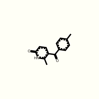 Cc1ccc(C(=O)c2ccc(=O)[nH]c2C)cc1